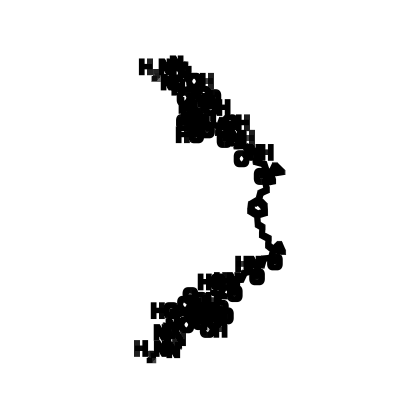 CC(C)(COP(=O)(O)OP(=O)(O)OCC1OC(n2cnc3c(N)ncnc32)C(O)C1OP(=O)(O)O)C(O)C(=O)NCCC(=O)NCCC(=O)C1(CCCCCc2ccc(CCCCC3(C(=O)CCNC(=O)CCNC(=O)C(O)C(C)(C)COP(=O)(O)OP(=O)(O)OCC4OC(n5cnc6c(N)ncnc65)C(O)C4OP(=O)(O)O)CC3)cc2)CC1